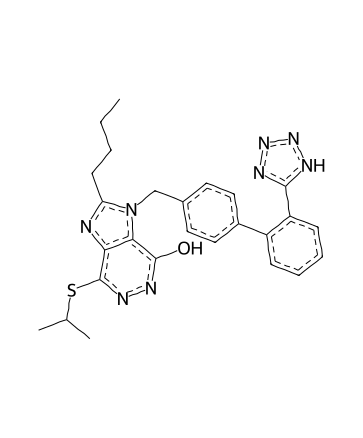 CCCCc1nc2c(SC(C)C)nnc(O)c2n1Cc1ccc(-c2ccccc2-c2nnn[nH]2)cc1